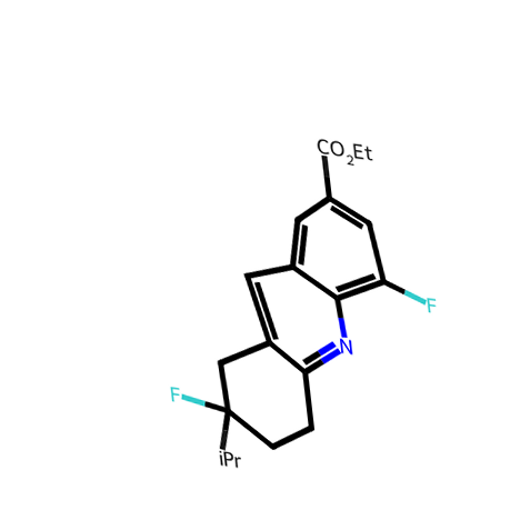 CCOC(=O)c1cc(F)c2nc3c(cc2c1)CC(F)(C(C)C)CC3